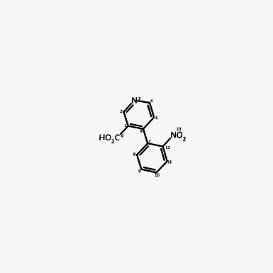 O=C(O)c1cnccc1-c1ccccc1[N+](=O)[O-]